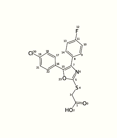 O=C(O)CSc1nc(-c2ccc(F)cc2)c(-c2ccc(Cl)cc2)o1